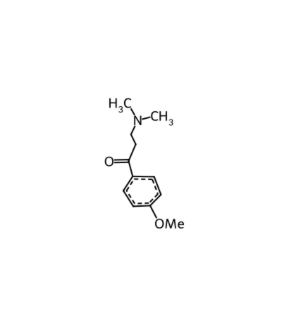 COc1ccc(C(=O)CCN(C)C)cc1